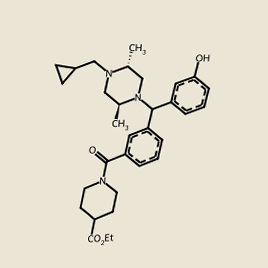 CCOC(=O)C1CCN(C(=O)c2cccc(C(c3cccc(O)c3)N3C[C@@H](C)N(CC4CC4)C[C@@H]3C)c2)CC1